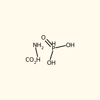 NC(=O)O.O=[PH](O)O